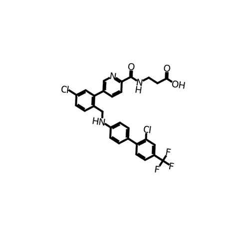 O=C(O)CCNC(=O)c1ccc(-c2cc(Cl)ccc2CNc2ccc(-c3ccc(C(F)(F)F)cc3Cl)cc2)cn1